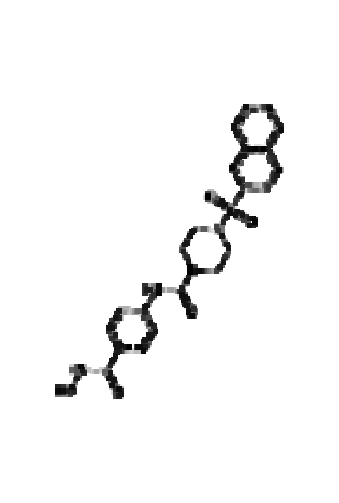 O=C(NO)c1ccc(NC(=O)N2CCN(S(=O)(=O)c3ccc4ccccc4c3)CC2)cc1